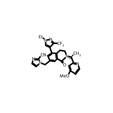 CCn1cc(-c2cc(Cn3ccnc3C#N)cc3c2CCN([C@@H](C)c2cc(OC)ccn2)C3=O)c(C(F)(F)F)n1